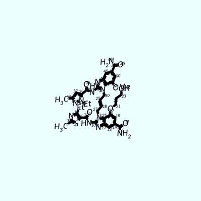 CCc1nc(C)sc1C(=O)Nc1nc2cc(C(N)=O)cc(OCCCO)c2n1CC=CCn1c(NC(=O)c2cc(C)nn2CC)nc2cc(C(N)=O)cc(OC)c21